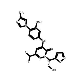 COc1cc(Nc2cc(C(F)F)nn([C@@H](CO)c3ccns3)c2=O)ccc1-n1cnc(C)c1